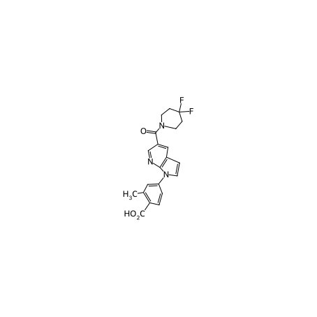 Cc1cc(-n2ccc3cc(C(=O)N4CCC(F)(F)CC4)cnc32)ccc1C(=O)O